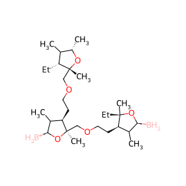 B[C@@H]1O[C@](C)(CC)[C@H](CCOC[C@@]2(C)O[C@@H](B)C(C)[C@H]2CCOC[C@@]2(C)O[C@@H](C)C(C)[C@H]2CC)C1C